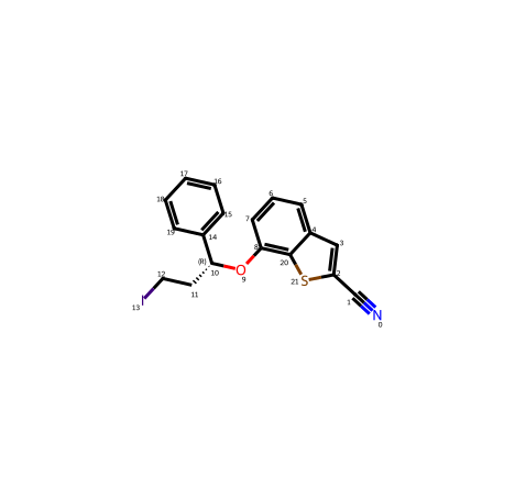 N#Cc1cc2cccc(O[C@H](CCI)c3ccccc3)c2s1